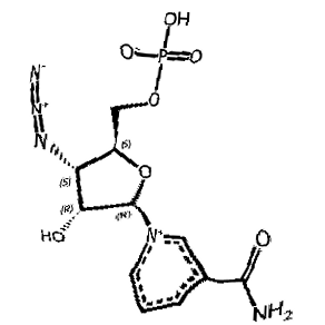 [N-]=[N+]=N[C@H]1[C@@H](O)[C@H]([n+]2cccc(C(N)=O)c2)O[C@@H]1COP(=O)([O-])O